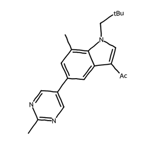 CC(=O)c1cn(CC(C)(C)C)c2c(C)cc(-c3cnc(C)nc3)cc12